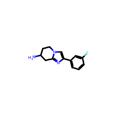 NC1CCn2cc(-c3cccc(F)c3)nc2C1